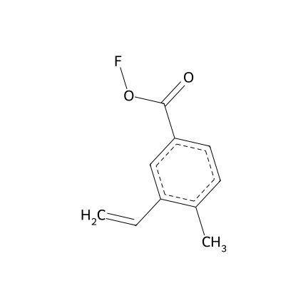 C=Cc1cc(C(=O)OF)ccc1C